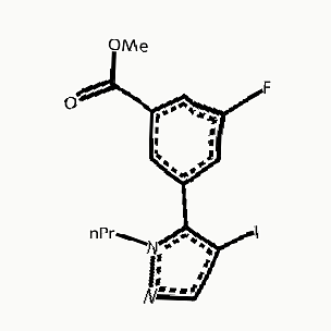 CCCn1ncc(I)c1-c1cc(F)cc(C(=O)OC)c1